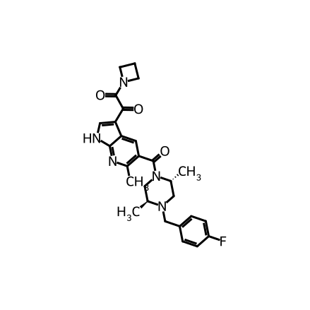 Cc1nc2[nH]cc(C(=O)C(=O)N3CCC3)c2cc1C(=O)N1C[C@H](C)N(Cc2ccc(F)cc2)C[C@H]1C